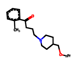 CCCOCC1CCN(CCCC(=O)c2ccccc2C)CC1